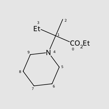 CCOC(=O)C(C)(CC)N1CCCCC1